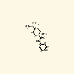 C[C@@H](N)C1CCC(C(=O)Nc2ccncc2)CC1.Cl